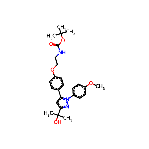 COc1ccc(-n2nc(C(C)(C)O)cc2-c2ccc(OCCNC(=O)OC(C)(C)C)cc2)cc1